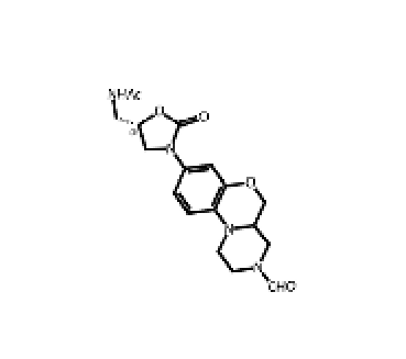 CC(=O)NC[C@H]1CN(c2ccc3c(c2)OCC2CN(C=O)CCN32)C(=O)O1